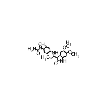 CCC(Nc1ccc(N(C)C(N)=O)cc1)=C1C(=O)Nc2cc(OC)c(OC)cc21